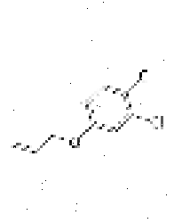 C=CCOc1[c]cc(Cl)c(Cl)c1